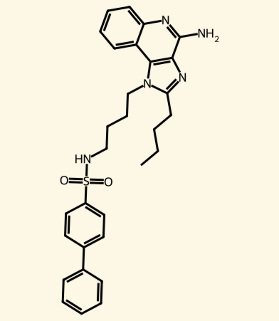 CCCCc1nc2c(N)nc3ccccc3c2n1CCCCNS(=O)(=O)c1ccc(-c2ccccc2)cc1